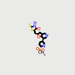 CS(=O)(=O)c1ccc(-c2cncc3cc(/C=C4/SC(=S)NC4=O)oc23)cn1